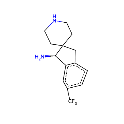 N[C@@H]1c2cc(C(F)(F)F)ccc2CC12CCNCC2